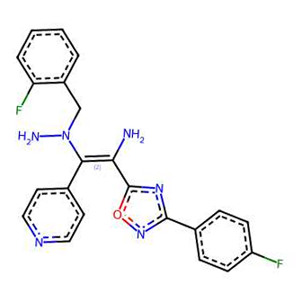 N/C(=C(/c1ccncc1)N(N)Cc1ccccc1F)c1nc(-c2ccc(F)cc2)no1